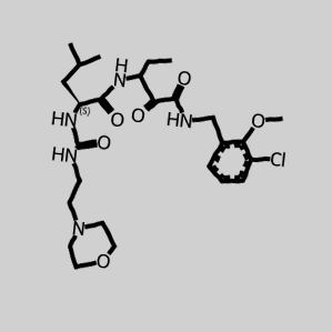 CCC(NC(=O)[C@H](CC(C)C)NC(=O)NCCN1CCOCC1)C(=O)C(=O)NCc1cccc(Cl)c1OC